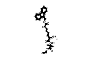 CCOC(=O)C(C)(C)NC(=O)[C@H](N)CCCCNC(=O)OCC1c2ccccc2-c2ccccc21